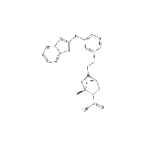 NC(=O)N1CC2C[C@H]1CN2CCc1cccc(Oc2nc3ccccc3s2)c1